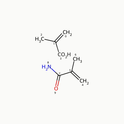 C=C(C)C(=O)O.C=C(C)C(N)=O